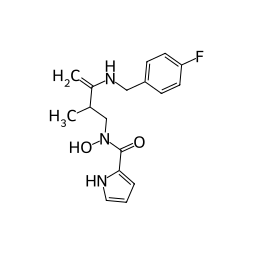 C=C(NCc1ccc(F)cc1)C(C)CN(O)C(=O)c1ccc[nH]1